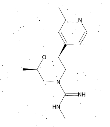 CNC(=N)N1C[C@@H](C)O[C@@H](c2ccnc(C)c2)C1